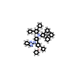 c1ccc(B2c3ccccc3-c3cc4c5cc(N(c6cc(-c7ccccc7)cc(-c7ccccc7)c6)c6ccc7c(c6)-c6ccccc6[Si]7(c6ccccc6)c6ccccc6)ccc5n(-c5ncc6ccccc6n5)c4cc32)cc1